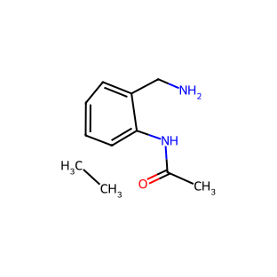 CC.CC(=O)Nc1ccccc1CN